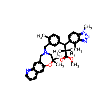 COC(=O)C(C)(C)C(c1ccc(C)c(CN2Cc3cc4ncccc4cc3OC(C)(C)C2)c1)c1ccc2c(nnn2C)c1C